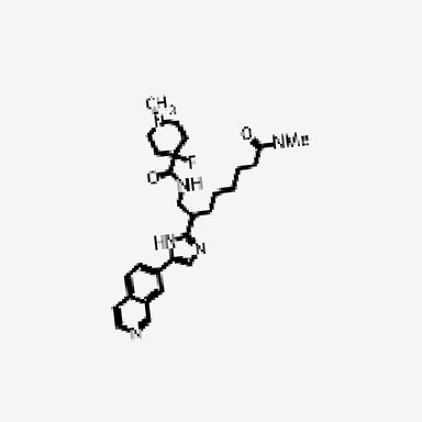 CNC(=O)CCCCCC(CNC(=O)C1(F)CCN(C)CC1)c1ncc(-c2ccc3ccncc3c2)[nH]1